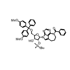 COc1ccc(C(OC[C@H]2O[C@@H](n3cc4c5c(ncnc53)N(C(=O)c3ccccc3)CCC4)[C@H](O[Si](C)(C)C(C)(C)C)[C@@H]2O)(c2ccccc2)c2ccc(OC)cc2)cc1